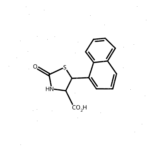 O=C1NC(C(=O)O)C(c2cccc3ccccc23)S1